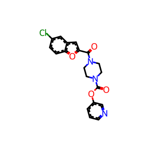 O=C(Oc1cccnc1)N1CCN(C(=O)c2cc3cc(Cl)ccc3o2)CC1